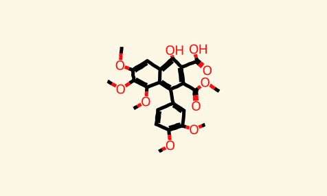 COC(=O)c1c(C(=O)O)c(O)c2cc(OC)c(OC)c(OC)c2c1-c1ccc(OC)c(OC)c1